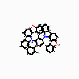 Fc1cccc(F)c1-c1ccc(-n2c3ccccc3c3ccc4oc5ccccc5c4c32)c(C(F)(F)F)c1-n1c2ccccc2c2ccc3oc4ccccc4c3c21